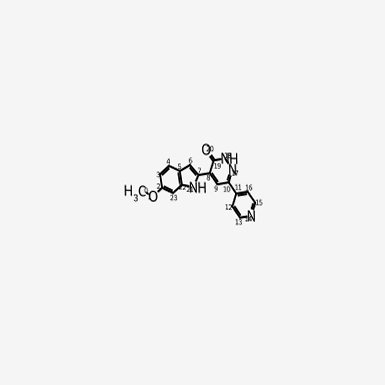 COc1ccc2cc(-c3cc(-c4ccncc4)n[nH]c3=O)[nH]c2c1